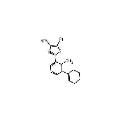 CCCc1nc(-c2cccc(C3=CCCCC3)c2C)sc1CC